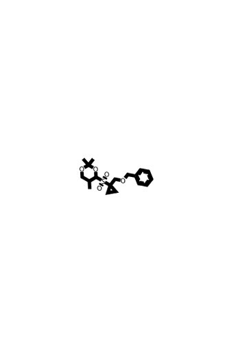 CC1COC(C)(C)OC1S(=O)(=O)C1(COCc2ccccc2)CC1